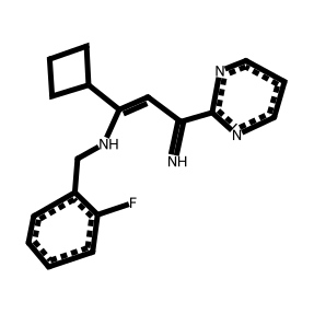 N=C(/C=C(\NCc1ccccc1F)C1CCC1)c1ncccn1